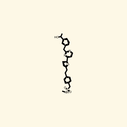 CNS(=O)(=O)Cc1ccc(CCc2ccc(-c3ccnc(Cc4cccc(C(C)O)c4)n3)s2)cc1